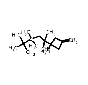 C=C1CC(C)(C(C)(C)CS(C)(C)C(C)(C)C)C1